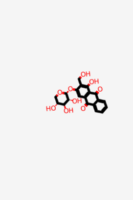 O=C1c2ccccc2C(=O)c2c1cc(O[C@@H]1OC[C@@H](O)[C@H](O)[C@H]1O)c(CO)c2O